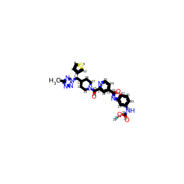 Cc1nnn([C@H](c2ccsc2)C2CCN(C(=O)c3cc(-c4nc5cc(NC(=O)OF)ccc5o4)ccn3)CC2)n1